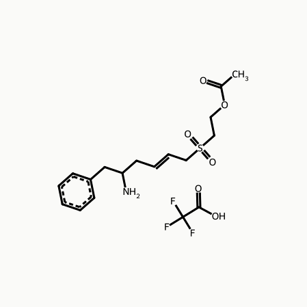 CC(=O)OCCS(=O)(=O)CC=CCC(N)Cc1ccccc1.O=C(O)C(F)(F)F